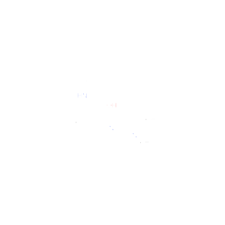 CCN(C)/C=N/C=C(/C)C(O)NC